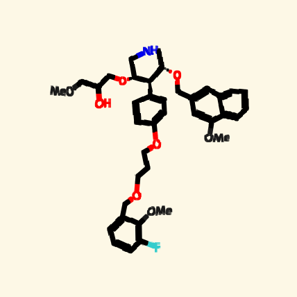 COCC(O)CO[C@@H]1CNC[C@H](OCc2cc(OC)c3ccccc3c2)[C@H]1c1ccc(OCCCOCc2cccc(F)c2OC)cc1